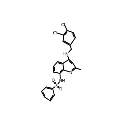 Cc1cc(NCc2ccc(Cl)c(Cl)c2)c2cccc(NS(=O)(=O)c3ccccc3)c2n1